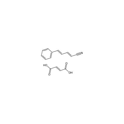 N#CC=CC=Cc1ccccc1.O=C(O)/C=C/C(=O)O